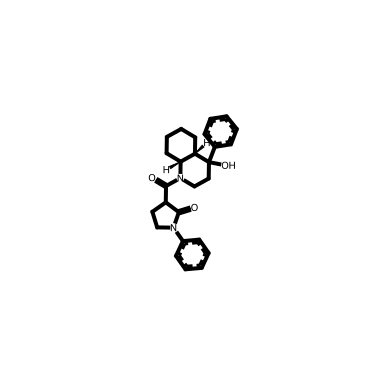 O=C1C(C(=O)N2CCC(O)(c3ccccc3)[C@H]3CCCC[C@H]32)CCN1c1ccccc1